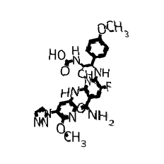 COc1ccc([C@@H](Nc2nc(Nc3cnc(OC)c(-n4ccnn4)c3)c(C(N)=O)cc2F)[C@H](C)NC(=O)O)cc1